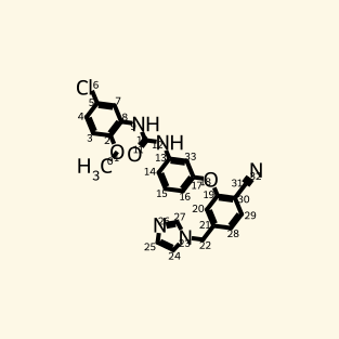 COc1ccc(Cl)cc1NC(=O)Nc1cccc(Oc2cc(Cn3ccnc3)ccc2C#N)c1